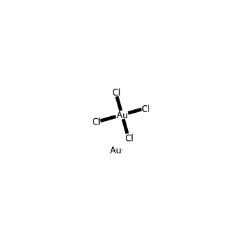 [Au].[Cl][Au]([Cl])([Cl])[Cl]